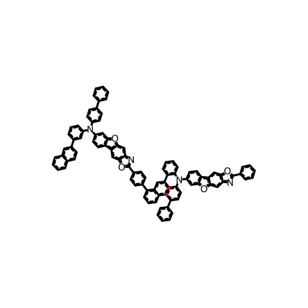 c1ccc(-c2ccc(N(c3cccc(-c4ccc5ccccc5c4)c3)c3ccc4c(c3)oc3cc5nc(-c6ccc(-c7cccc8ccc(-c9ccccc9N(c9ccc(-c%10ccccc%10)cc9)c9ccc%10c(c9)oc9cc%11nc(-c%12ccccc%12)oc%11cc9%10)cc78)cc6)oc5cc34)cc2)cc1